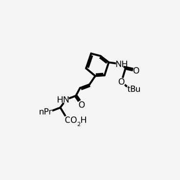 CCCC(NC(=O)C=Cc1cccc(NC(=O)OC(C)(C)C)c1)C(=O)O